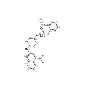 CN(C)c1cc(NC2CCC(CNC(=O)Cc3ccccc3OC(F)(F)F)CC2)nc2ccccc12